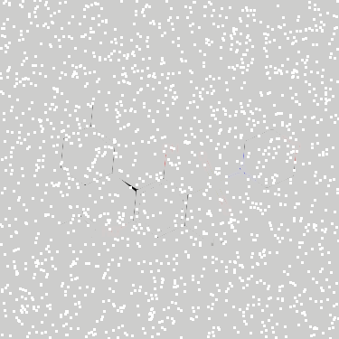 C=C(C)[C@@H]1CCC(C)=C[C@H]1c1c(O)cc(CCCCC)c(S(=O)(=O)N2CCOCC2)c1O